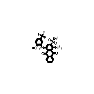 COc1ccc(C(F)(F)F)cc1Nc1cc(S(=O)(=O)O)c(N)c2c1C(=O)c1ccccc1C2=O